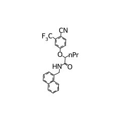 CCCC(Oc1ccc(C#N)c(C(F)(F)F)c1)C(=O)NCc1cccc2ccccc12